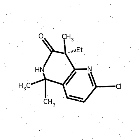 CC[C@@]1(C)C(=O)NC(C)(C)c2ccc(Cl)nc21